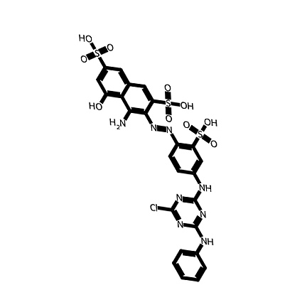 Nc1c(N=Nc2ccc(Nc3nc(Cl)nc(Nc4ccccc4)n3)cc2S(=O)(=O)O)c(S(=O)(=O)O)cc2cc(S(=O)(=O)O)cc(O)c12